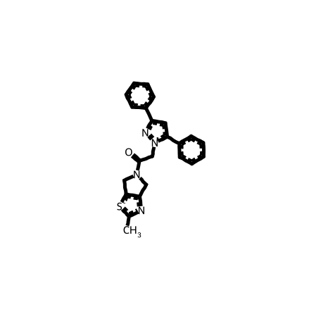 Cc1nc2c(s1)CN(C(=O)Cn1nc(-c3ccccc3)cc1-c1ccccc1)C2